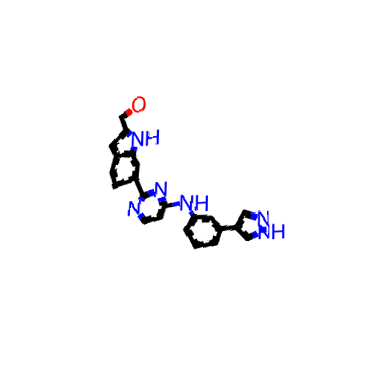 O=Cc1cc2ccc(-c3nccc(Nc4cccc(-c5cn[nH]c5)c4)n3)cc2[nH]1